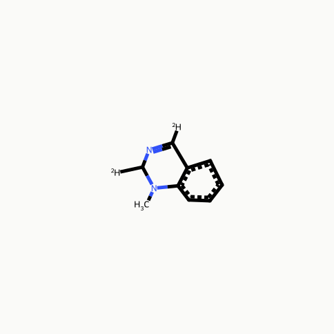 [2H]C1=NC([2H])N(C)c2ccccc21